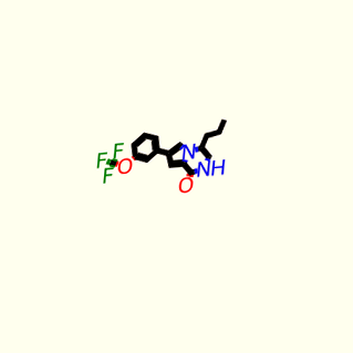 CCCC1CNC(=O)c2cc(-c3cccc(OC(F)(F)F)c3)cn21